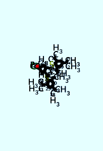 CC(C)c1cc(C(C)C)c(SCc2ccccc2CSc2c(C(C)C)cc(C(C)C)cc2C(C)C)c(C(C)C)c1.[Cl-].[Cl-].[Pd+2]